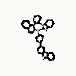 c1ccc2c(c1)-c1c(ccc3ccccc13)N(c1ccc(-c3ccc4oc5ccccc5c4c3)cc1)c1nc3ccccc3n1-2